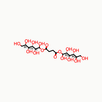 O=C(CCC(=O)OC(O)[C@H](O)[C@@H](O)[C@H](O)[C@H](O)CO)OC(O)[C@H](O)[C@@H](O)[C@H](O)[C@H](O)CO